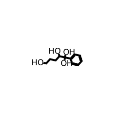 OCCCC(O)C(O)(O)c1ccccc1